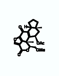 COC[C@H]1OC(=O)c2coc3c2[C@@]1(C)C1=C(C3=O)[C@@H]2CCC[C@@]2(C)C[C@H]1OC(C)=O